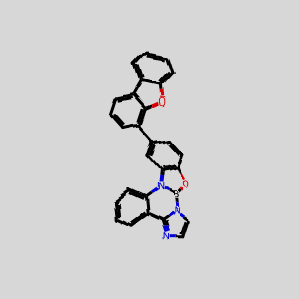 c1ccc2c(c1)-c1nccn1B1Oc3ccc(-c4cccc5c4oc4ccccc45)cc3N12